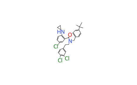 CC(C)(C)c1ccc(CN(CCc2ccc(Cl)c(Cl)c2)C(=O)c2cc(Cl)ccc2NC2CC2)cc1